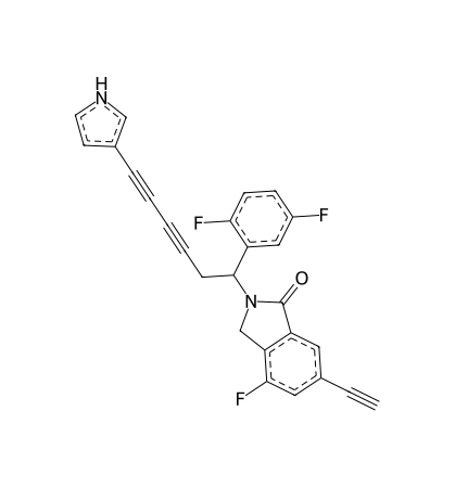 C#Cc1cc(F)c2c(c1)C(=O)N(C(CC#CC#Cc1cc[nH]c1)c1cc(F)ccc1F)C2